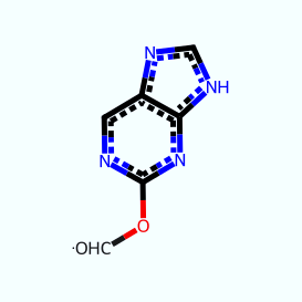 O=[C]Oc1ncc2nc[nH]c2n1